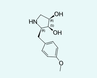 COc1ccc(C[C@H]2NC[C@@H](O)[C@H]2O)cc1